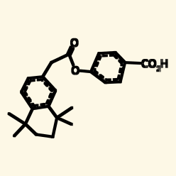 CC1(C)CCC(C)(C)c2cc(CC(=O)Oc3ccc(C(=O)O)cc3)ccc21